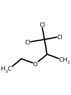 CCOC(C)C(Cl)(Cl)Cl